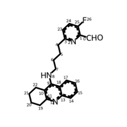 O=Cc1nc(CCCCNc2c3c(nc4ccccc24)CCCC3)ccc1F